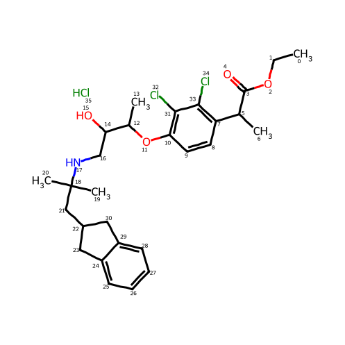 CCOC(=O)C(C)c1ccc(OC(C)C(O)CNC(C)(C)CC2Cc3ccccc3C2)c(Cl)c1Cl.Cl